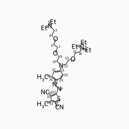 CCN(CC)CCOCCOCCN(CCOCC[N+](CC)(CC)CC)c1ccc(/N=N/c2sc(C#N)c(C)c2C#N)c(C)c1